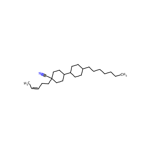 C/C=C\CCC1(C#N)CCC(C2CCC(CCCCCCC)CC2)CC1